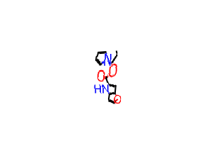 CCC(OC(=O)c1cc2occc2[nH]1)n1cccc1